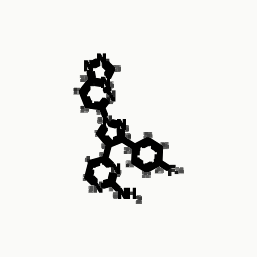 Nc1nccc(-c2cn(-c3ccc4nncn4n3)nc2-c2ccc(F)cc2)n1